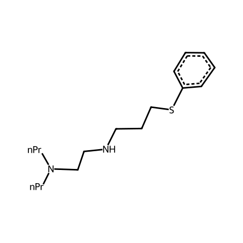 CCCN(CCC)CCNCCCSc1ccccc1